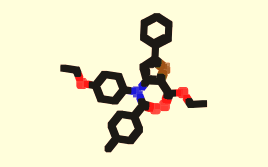 CCOC(=O)c1sc(C2=CCCCC2)cc1N(C(=O)C1CCC(C)CC1)C1CCC(OCC)CC1